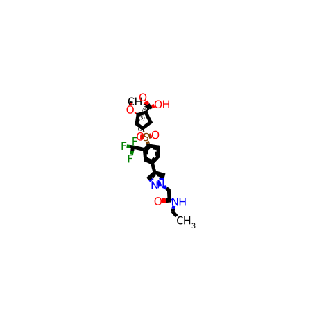 CCNC(=O)Cn1cc(-c2ccc(S(=O)(=O)[C@@H]3C[C@H](OC)[C@@H](C(=O)O)C3)c(C(F)(F)F)c2)cn1